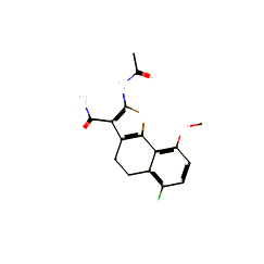 COc1ccc(F)c2c1-c1sc(NC(C)=O)c(C(N)=O)c1CC2